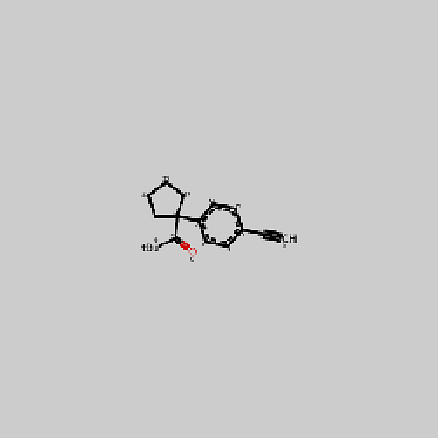 C#Cc1ccc(C2(C(=O)C(C)(C)C)CCCC2)cc1